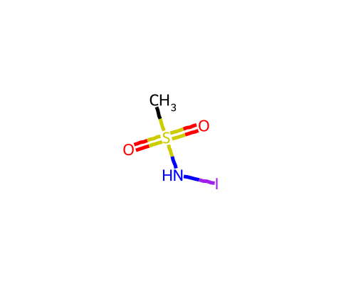 CS(=O)(=O)NI